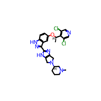 C[C@@H](Oc1ccc2[nH]nc(-c3nc4c([nH]3)CN([C@@H]3CCCN(C)C3)C4)c2c1)c1c(Cl)cncc1Cl